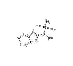 CC(C)(C)N(c1nc2ccccc2s1)S(N)(=O)=O